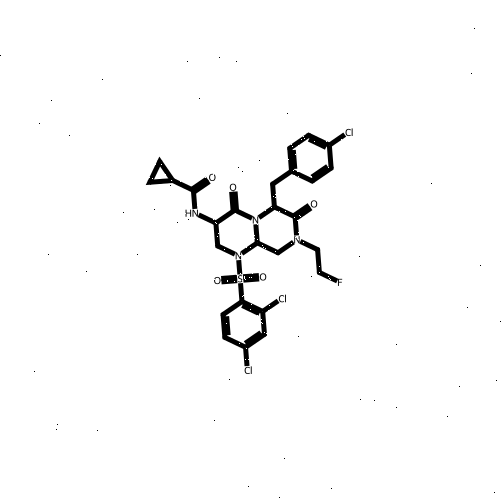 O=C(NC1CN(S(=O)(=O)c2ccc(Cl)cc2Cl)C2CN(CCF)C(=O)C(Cc3ccc(Cl)cc3)N2C1=O)C1CC1